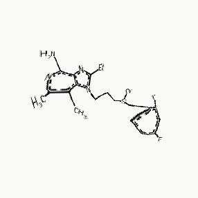 CCc1nc2c(N)nc(C)c(C)c2n1CCC[S+]([O-])c1ccc(F)cc1F